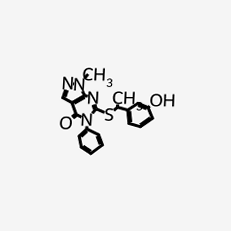 CC(Sc1nc2c(cnn2C)c(=O)n1-c1ccccc1)c1cccc(O)c1